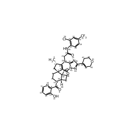 C[C@H]1C[C@@]2(CCN(C(=O)c3ncccc3O)[C@H]3CC[C@H]32)c2c1n(CC(=O)Nc1ccc(C(F)(F)F)cc1Cl)c1nc(C3=CCOCC3)nn1c2=O